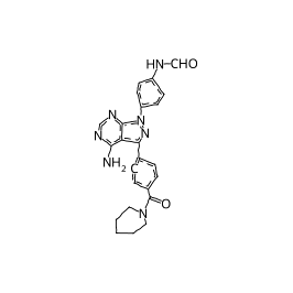 Nc1ncnc2c1c(-c1ccc(C(=O)N3CCCCC3)cc1)nn2-c1ccc(NC=O)cc1